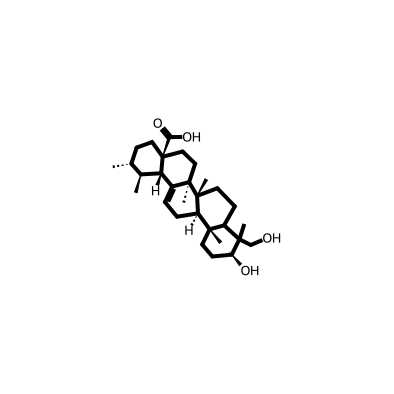 C[C@H]1[C@H](C)CC[C@]2(C(=O)O)CC[C@]3(C)C(=CC[C@@H]4[C@@]5(C)CC[C@H](O)C(C)(CO)C5CC[C@]43C)[C@H]12